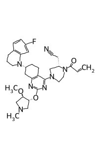 C=CC(=O)N1CCN(c2nc(O[C@@H]3CN(C)C[C@H]3OC)nc3c2CC[C@@H](N2CCCc4ccc(F)cc42)C3)C[C@@H]1CC#N